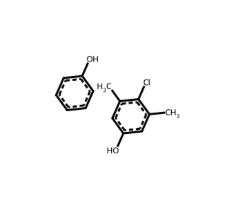 Cc1cc(O)cc(C)c1Cl.Oc1ccccc1